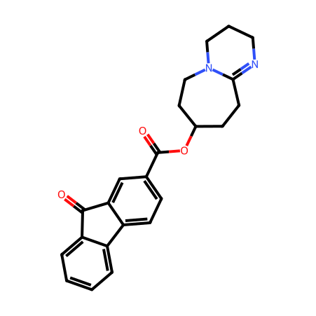 O=C(OC1CCC2=NCCCN2CC1)c1ccc2c(c1)C(=O)c1ccccc1-2